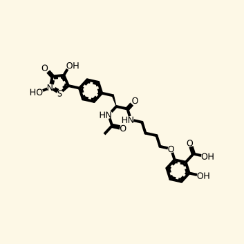 CC(=O)N[C@@H](Cc1ccc(-c2sn(O)c(=O)c2O)cc1)C(=O)NCCCCOc1cccc(O)c1C(=O)O